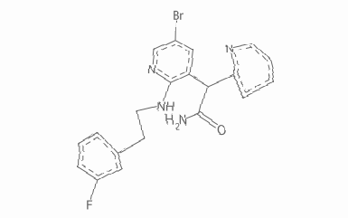 NC(=O)C(c1ccccn1)c1cc(Br)cnc1NCCc1cccc(F)c1